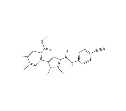 COC(=O)c1cc(F)c(Cl)cc1-c1cc(C(=O)Nc2ccc(C#N)cc2)c(C)n1C